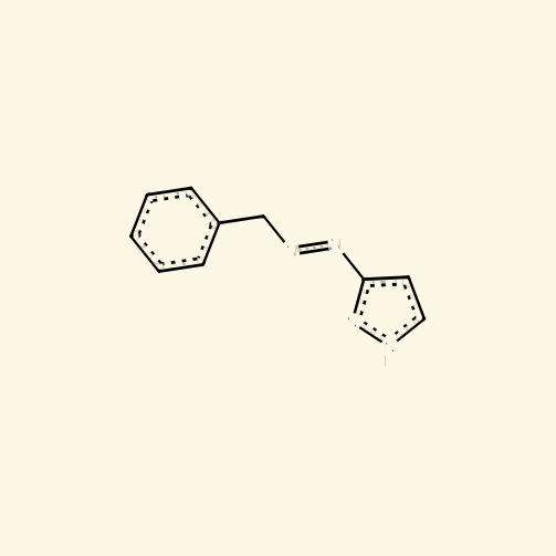 c1ccc(CN=Nc2cc[nH]n2)cc1